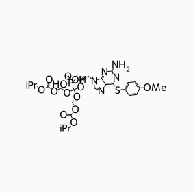 COc1ccc(Sc2nc(N)nc3c2ncn3C[C@@H](C)OC(OCOC(=O)OC(C)C)(OCOC(=O)OC(C)C)P(=O)(O)O)cc1